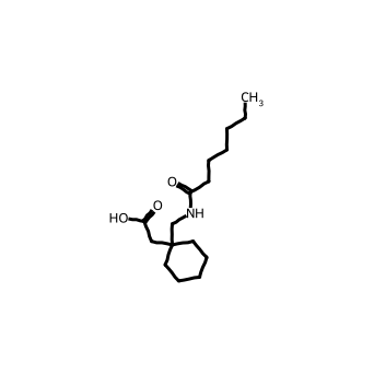 CCCCCCC(=O)NCC1(CC(=O)O)CCCCC1